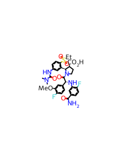 CCS(=O)(=O)c1ccc(NC(=O)N(C)C)cc1[C@H]1[C@@H](C(=O)O)CCN1C(=O)[C@H](Nc1cc(C(N)=O)ccc1F)c1ccc(F)c(OC)c1